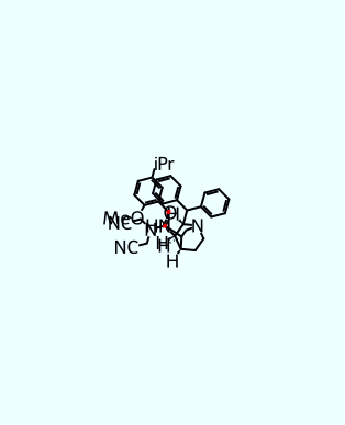 COc1ccc(C(C)C)cc1CN[C@H]1[C@H]2CCN(C[C@@H]2C(=O)N(CC#N)CC#N)[C@H]1C(c1ccccc1)c1ccccc1